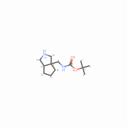 CC(C)(C)OC(=O)NCC12CCCC1CNC2